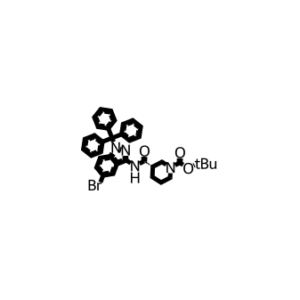 CC(C)(C)OC(=O)N1CCC[C@H](C(=O)Nc2nn(C(c3ccccc3)(c3ccccc3)c3ccccc3)c3ccc(Br)cc23)C1